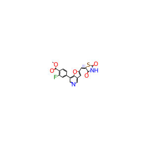 COC(=O)c1ccc(-c2cncc3cc(/C=C4/SC(=O)NC4=O)oc23)cc1F